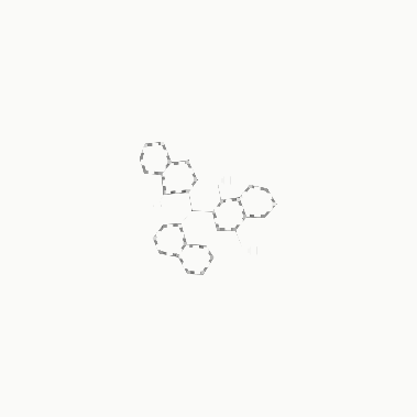 Oc1cc(C(c2cc(O)c3ccccc3c2O)c2cccc3ccccc23)c(O)c2ccccc12